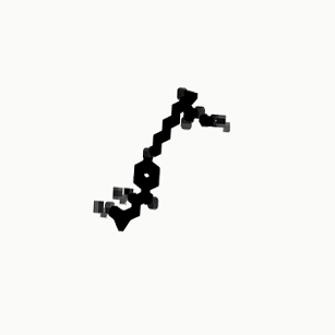 C=C1CC1CC(N)C(=O)c1ccc(OCCCCCCC2(C(=O)OCC)CO2)cc1